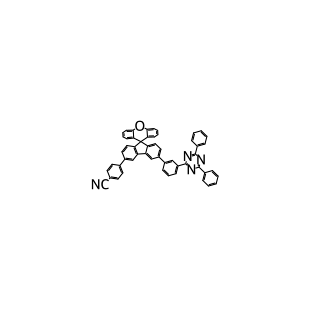 N#Cc1ccc(-c2ccc3c(c2)-c2cc(-c4cccc(-c5nc(-c6ccccc6)nc(-c6ccccc6)n5)c4)ccc2C32c3ccccc3Oc3ccccc32)cc1